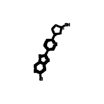 O[C@@H]1CCN(c2ccc(-c3nc4cnc(Cl)cc4s3)cn2)C1